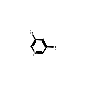 Oc1[c]ncc(O)c1